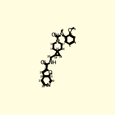 COc1ccccc1N(C)C(=O)N1CCC2(CC1)CC2CNC(=O)c1cc2ccncc2o1